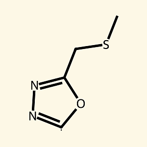 CSCc1nn[c]o1